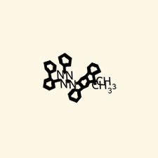 CC1(C)c2ccccc2-c2cc3c(cc21)c1ccccc1n3-c1nc(-c2ccccc2)nc(-c2ccccc2-c2ccccc2)n1